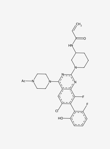 C=CC(=O)NC1CCCN(c2nc(N3CCN(C(C)=O)CC3)c3cc(Cl)c(-c4c(O)cccc4F)c(F)c3n2)C1